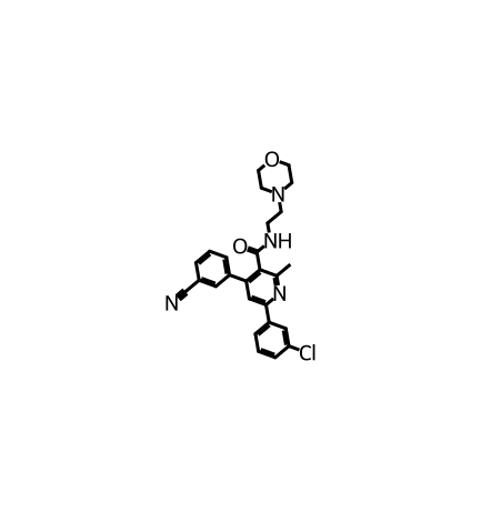 Cc1nc(-c2cccc(Cl)c2)cc(-c2cccc(C#N)c2)c1C(=O)NCCN1CCOCC1